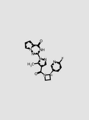 Cc1c(C(=O)N2CC[C@@H]2c2ccc(F)nc2)cnn1-c1nn2cccc2c(=O)[nH]1